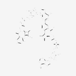 Nc1ncnc2c1ncn2[C@@H]1O[C@H](CNS(=O)(=O)NC(=O)CCC(=O)c2cc(-c3nc(N)c4ncn([C@@H]5O[C@H](COS(=O)(=O)NC(=O)CCC(=O)c6ccccc6-c6c(O)c(=O)c6=O)[C@@H](O)[C@H]5O)c4n3)ccc2-c2c(O)c(=O)c2=O)[C@@H](O)[C@H]1O